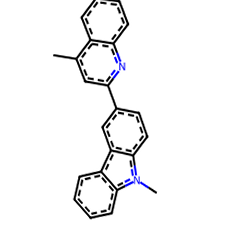 Cc1cc(-c2ccc3c(c2)c2ccccc2n3C)nc2ccccc12